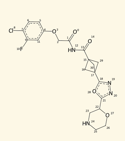 O=C(COc1ccc(Cl)c(F)c1)NC(=O)C12CC(c3nnc(C4CNCCO4)o3)(C1)C2